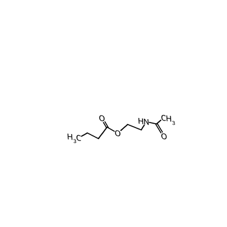 CCCC(=O)OCCNC(C)=O